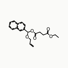 C=CCO[C@H](OC(=O)CCC(=O)OCC)c1ccc2ccccc2c1